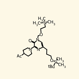 CC(=O)C1CCN(c2nc(CCCO[Si](C)(C)C(C)(C)C)cn(COCC[Si](C)(C)C)c2=O)CC1